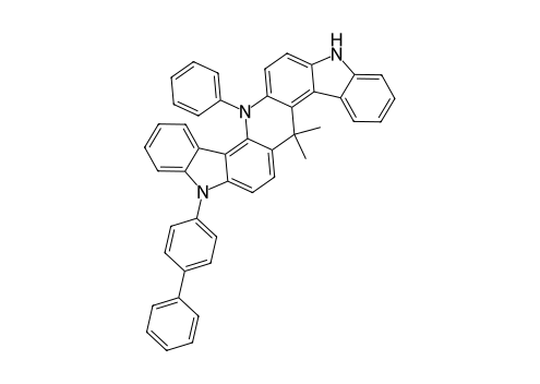 CC1(C)c2ccc3c(c2N(c2ccccc2)c2ccc4[nH]c5ccccc5c4c21)c1ccccc1n3-c1ccc(-c2ccccc2)cc1